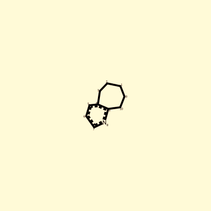 [CH]1CCCc2cccnc2C1